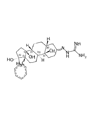 C[C@]12CCC(=NNC(=N)N)C[C@H]1CC[C@@H]1[C@@H]2CC[C@]2(C)[C@@](O)(c3ccccc3)CC[C@]12O